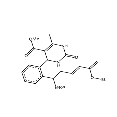 C=C(C=CCC(CCCCCCCCC)c1ccccc1C1NC(=O)NC(C)=C1C(=O)OC)OCC